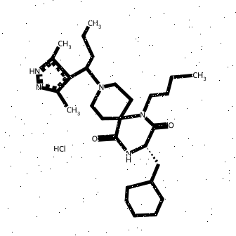 CCCCN1C(=O)[C@H](CC2CCCCC2)NC(=O)C12CCN(C(CCC)c1c(C)n[nH]c1C)CC2.Cl